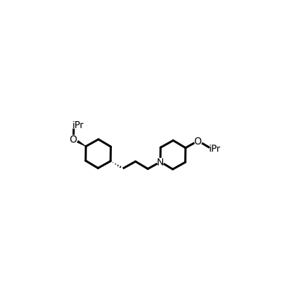 CC(C)OC1CCN(CCC[C@H]2CC[C@H](OC(C)C)CC2)CC1